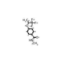 CNC(=O)c1ccc(OC(C)C(F)(F)F)cc1